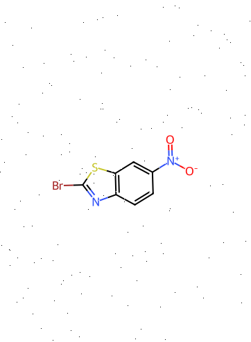 O=[N+]([O-])c1ccc2nc(Br)sc2c1